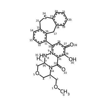 COCC1COC[C@H]2Nn3c(-c4cccc5c4Cc4ccccc4SC5)cc(=O)c(O)c3C(=O)N12